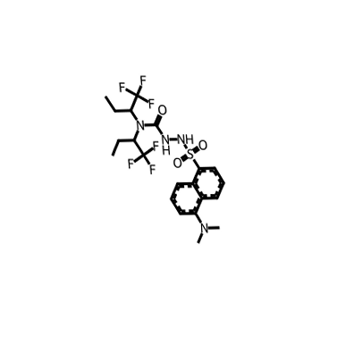 CCC(N(C(=O)NNS(=O)(=O)c1cccc2c(N(C)C)cccc12)C(CC)C(F)(F)F)C(F)(F)F